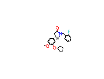 COc1ccc([C@@H]2CC(=O)N(Cc3ccccc3F)C2)cc1OC1CCCC1